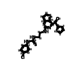 O=C(c1cccs1)c1nc(NCCNC(=S)Nc2ccc(Cl)cc2)nc2ccsc12